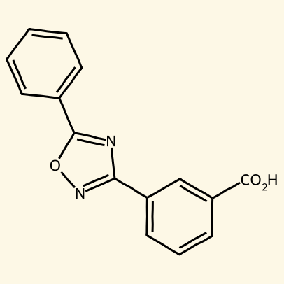 O=C(O)c1cccc(-c2noc(-c3ccccc3)n2)c1